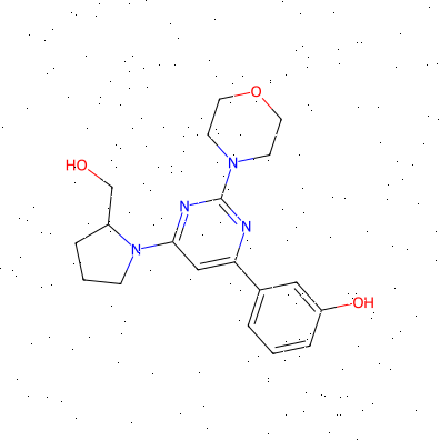 OCC1CCCN1c1cc(-c2cccc(O)c2)nc(N2CCOCC2)n1